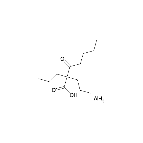 CCCCC(=O)C(CCC)(CCC)C(=O)O.[AlH3]